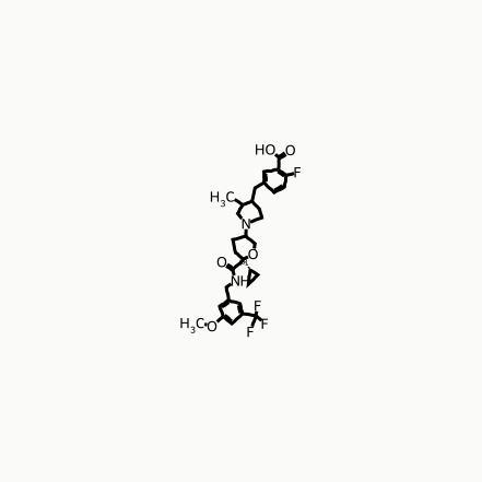 COc1cc(CNC(=O)[C@@]2(C3CC3)CCC(N3CCC(Cc4ccc(F)c(C(=O)O)c4)C(C)C3)CO2)cc(C(F)(F)F)c1